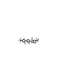 Fc1cc(-c2ncc(C(F)(F)F)cc2Cl)ccc1-c1nc2ncc(C(F)(F)F)cc2[nH]1